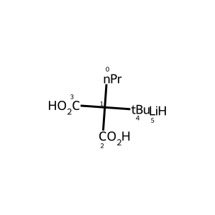 CCCC(C(=O)O)(C(=O)O)C(C)(C)C.[LiH]